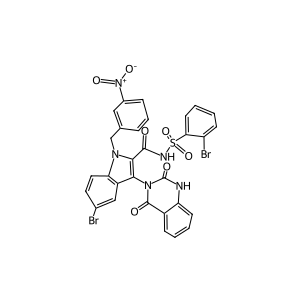 O=C(NS(=O)(=O)c1ccccc1Br)c1c(-n2c(=O)[nH]c3ccccc3c2=O)c2cc(Br)ccc2n1Cc1cccc([N+](=O)[O-])c1